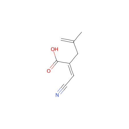 C=C(C)C/C(=C/C#N)C(=O)O